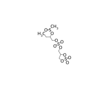 CCC(COS(=O)(=O)OCC1COS(=O)(=O)O1)OS(C)=O